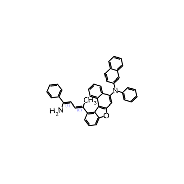 C/C(=C\C=C(/N)c1ccccc1)c1cccc2oc3cc(N(c4ccccc4)c4ccc5ccccc5c4)c4ccccc4c3c12